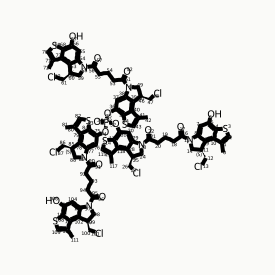 Cc1csc2c(O)cc3c(c12)[C@H](CCl)CN3C(=O)CCCC(=O)N1C[C@@H](CCl)c2c1cc(OP(=O)(Oc1cc3c(c4c(C)csc14)[C@H](CCl)CN3C(=O)CCCC(=O)N1C[C@@H](CCl)c3c1cc(O)c1scc(C)c31)Oc1cc3c(c4c(C)csc14)[C@H](CCl)CN3C(=O)CCCC(=O)N1C[C@@H](CCl)c3c1cc(O)c1scc(C)c31)c1scc(C)c21